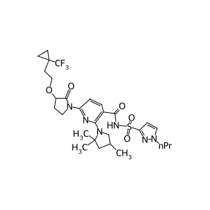 CCCn1ccc(S(=O)(=O)NC(=O)c2ccc(N3CCC(OCCC4(C(F)(F)F)CC4)C3=O)nc2N2CC(C)CC2(C)C)n1